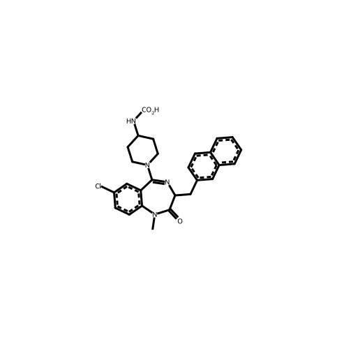 CN1C(=O)C(Cc2ccc3ccccc3c2)N=C(N2CCC(NC(=O)O)CC2)c2cc(Cl)ccc21